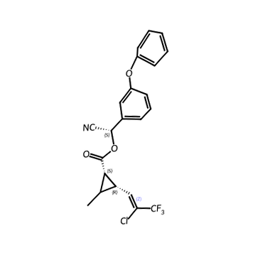 CC1[C@@H](/C=C(\Cl)C(F)(F)F)[C@H]1C(=O)O[C@H](C#N)c1cccc(Oc2ccccc2)c1